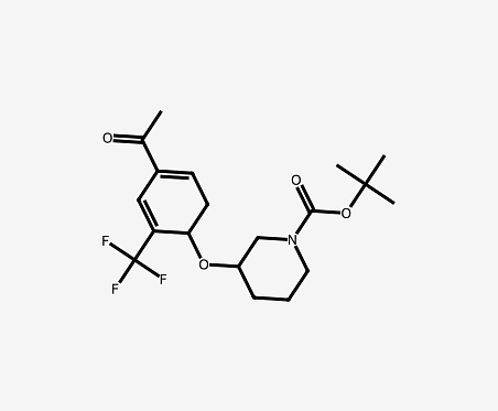 CC(=O)C1=CCC(OC2CCCN(C(=O)OC(C)(C)C)C2)C(C(F)(F)F)=C1